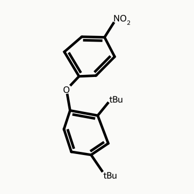 CC(C)(C)c1ccc(Oc2ccc([N+](=O)[O-])cc2)c(C(C)(C)C)c1